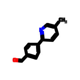 Cc1ccc(-c2ccc(C=O)cc2)nc1